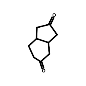 O=C1CCC2CC(=O)CC2C1